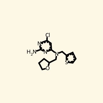 Nc1nc(Cl)cc(N(Cc2cccs2)CC2CCCO2)n1